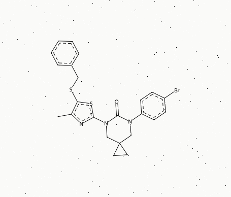 Cc1nc(N2CC3(CC3)CN(c3ccc(Br)cc3)C2=O)sc1SCc1ccccc1